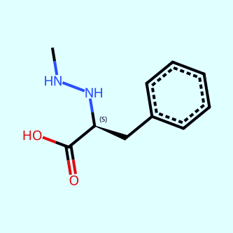 CNN[C@@H](Cc1ccccc1)C(=O)O